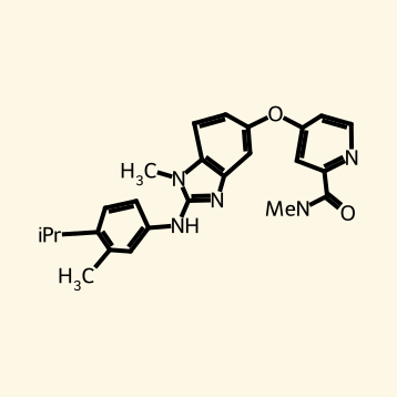 CNC(=O)c1cc(Oc2ccc3c(c2)nc(Nc2ccc(C(C)C)c(C)c2)n3C)ccn1